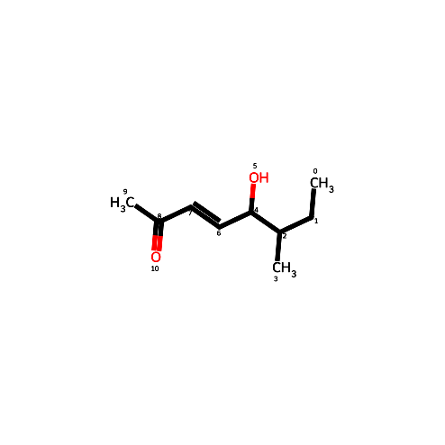 CCC(C)C(O)C=CC(C)=O